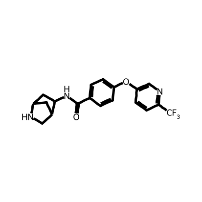 O=C(NC1CC2CC1CN2)c1ccc(Oc2ccc(C(F)(F)F)nc2)cc1